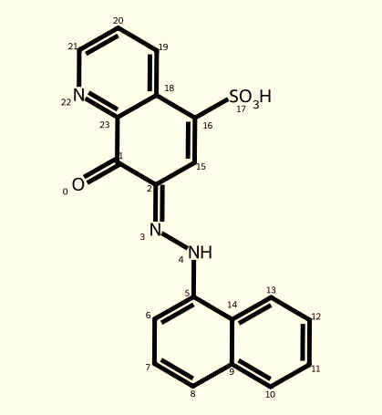 O=C1C(=NNc2cccc3ccccc23)C=C(S(=O)(=O)O)c2cccnc21